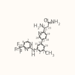 Cc1cc(Nc2nccc(C(F)(F)F)n2)cc(-c2ccc(C(N)CC(N)=O)nc2)c1